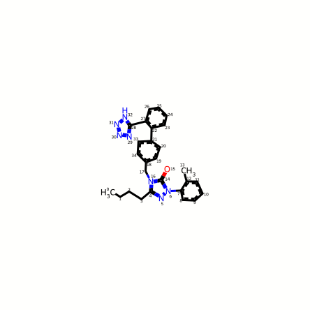 CCCCc1nn(-c2ccccc2C)c(=O)n1Cc1ccc(-c2ccccc2-c2nnn[nH]2)cc1